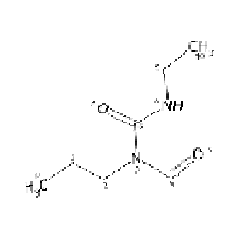 CCCN(C=O)C(=O)NCC